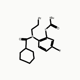 CC(C)CCN(C(=O)C1CCCCC1)c1ccc(F)cc1SC(=O)C(C)(C)C